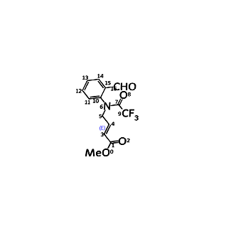 COC(=O)/C=C/CN(C(=O)C(F)(F)F)c1ccccc1C=O